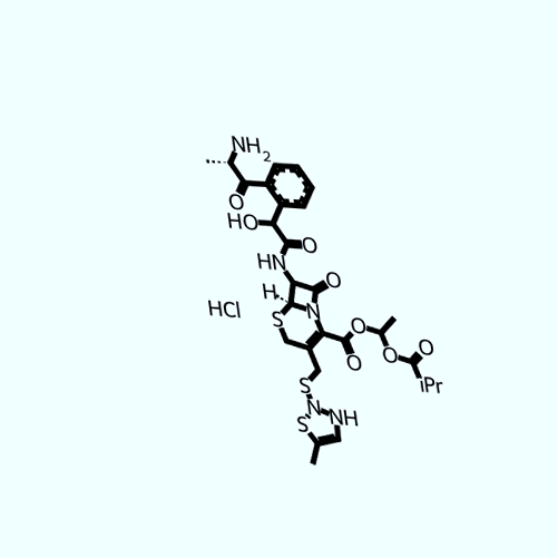 CC1=CNN(SCC2=C(C(=O)OC(C)OC(=O)C(C)C)N3C(=O)C(NC(=O)C(O)c4ccccc4C(=O)[C@H](C)N)[C@@H]3SC2)S1.Cl